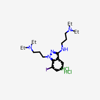 CCN(CC)CCCNc1nn(CCCN(CC)CC)c2c(I)cccc12.Cl.Cl